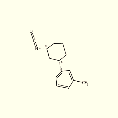 O=C=N[C@@H]1CCC[C@H](c2cccc(C(F)(F)F)c2)C1